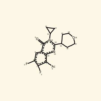 CC(=O)c1c(F)c(F)cc2c(=O)n(C3CC3)c(C3CCOCC3)nc12